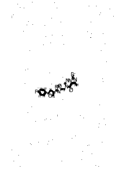 Cc1nc(Br)n2ncn(Cc3nc([C@@H]4CO[C@@H](c5ccc(F)cc5)C4)no3)c(=O)c12